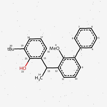 COc1c(-c2ccccc2)cccc1C(C)c1cccc(C(C)(C)C)c1O